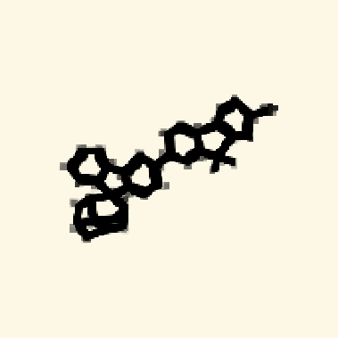 CC1(C)c2cc(Br)ccc2-c2ccc(-c3ccc4c(c3)-c3ccccc3C43C4CC5CC(C4)CC3C5)cc21